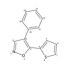 [c]1noc(-c2cccs2)c1-c1ccccc1